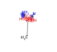 CCCCCCCCCCCCCCCCCCOC(C[C@H]1O[C@@](C#N)(c2ccc3c(N)ncnn23)[C@H](O)[C@@H]1O)[C@@H](COP(=O)(O)O)Oc1cccc(C#N)n1